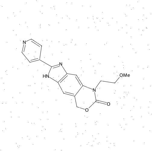 COCCN1C(=O)OCc2cc3[nH]c(-c4ccncc4)nc3cc21